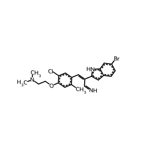 Cc1cc(OCCN(C)C)c(Cl)cc1/C=C(\C=N)c1cc2ccc(Br)cc2[nH]1